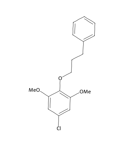 COc1cc(Cl)cc(OC)c1OCCCc1ccccc1